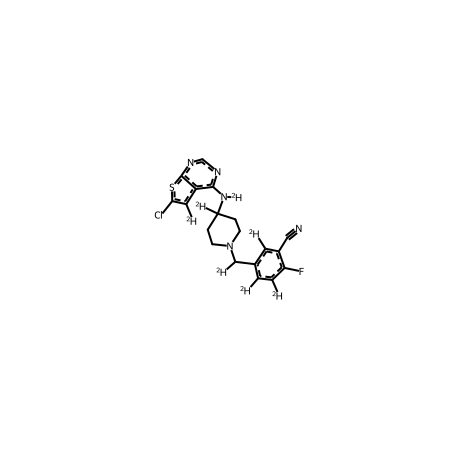 [2H]c1c([2H])c(C([2H])N2CCC([2H])(N([2H])c3ncnc4sc(Cl)c([2H])c34)CC2)c([2H])c(C#N)c1F